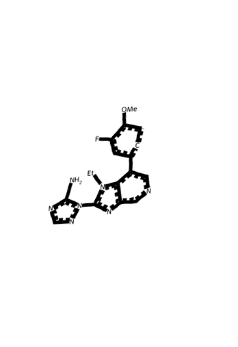 CCn1c(-n2ncnc2N)nc2cncc(-c3ccc(OC)c(F)c3)c21